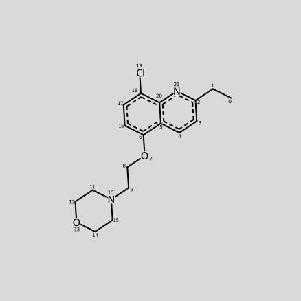 CCc1ccc2c(OCCN3CCOCC3)ccc(Cl)c2n1